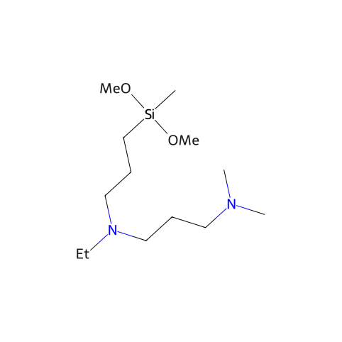 CCN(CCCN(C)C)CCC[Si](C)(OC)OC